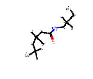 CC(=O)C(C)(C)CC(C)(C)CC(=O)NCC(C)(C)CC(C)(C)C